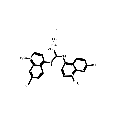 CCCCCCCCCC(Nc1cc[n+](C)c2cc(Cl)ccc12)Nc1cc[n+](C)c2cc(Cl)ccc12.O.O.[I-].[I-]